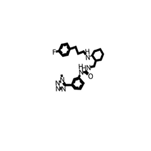 Cn1nnnc1-c1cccc(NC(=O)NCC2CCCC[C@H]2NCCCc2ccc(F)cc2)c1